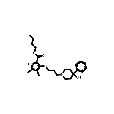 CCCCOC(=O)c1[nH]c(C)c(C)c1OCCCN1CCC(O)(c2ccccc2)CC1